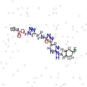 CC(C)(C)C(=O)OCn1cc(C2CN(c3nnc(-c4cnc(NC5Cc6ccc(F)cc6C5)nc4)o3)C2)nn1